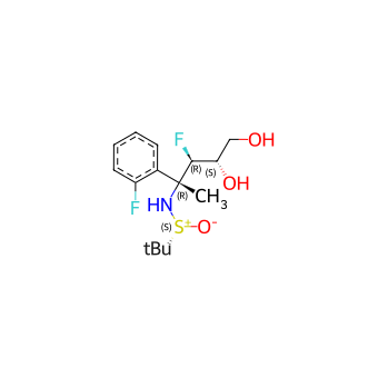 CC(C)(C)[S@@+]([O-])N[C@](C)(c1ccccc1F)[C@@H](F)[C@@H](O)CO